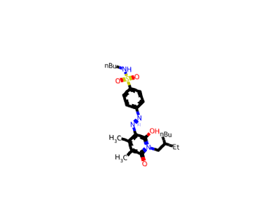 CCCCNS(=O)(=O)c1ccc(/N=N/c2c(C)c(C)c(=O)n(CC(CC)CCCC)c2O)cc1